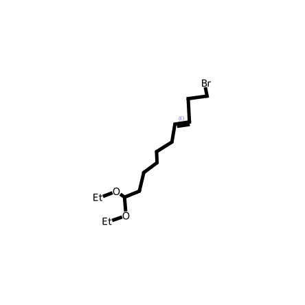 CCOC(CCCCC/C=C/CCBr)OCC